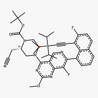 COc1nc(N2CCN(C(=O)OC(C)(C)C)[C@@H](CC#N)C2)c2cnc(-c3cccc4ccc(F)c(C#C[Si](C(C)C)(C(C)C)C(C)C)c34)c(F)c2n1